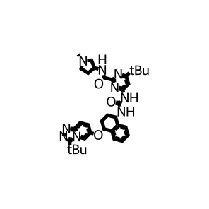 CN1CCC(NC(=O)c2nc(NC(=O)N[C@H]3CC[C@@H](Oc4ccc5nnc(C(C)(C)C)n5c4)c4ccccc43)cc(C(C)(C)C)n2)C1